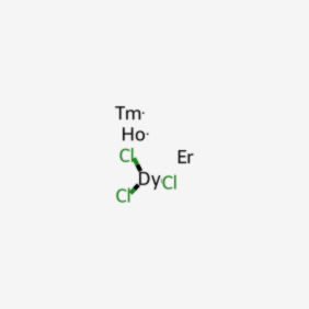 [Cl][Dy]([Cl])[Cl].[Er].[Ho].[Tm]